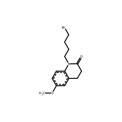 COc1ccc2c(c1)CCC(=O)N2CCCCBr